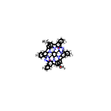 Cc1ccc2c(c1)c1cc(C)ccc1n2-c1c(-c2nc(-c3ccccc3)nc(-c3ccccc3)n2)c(-n2c3ccc(C)cc3c3cc(C)ccc32)c(-n2c3ccc(C)cc3c3cc(C)ccc32)c(-c2nc(-c3ccccc3)nc(-c3ccccc3)n2)c1-n1c2ccc(C)cc2c2cc(C)ccc21